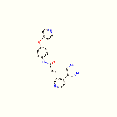 N=C/C(=C\N)c1ccncc1/C=C/C(=O)Nc1ccc(Oc2ccncc2)cc1